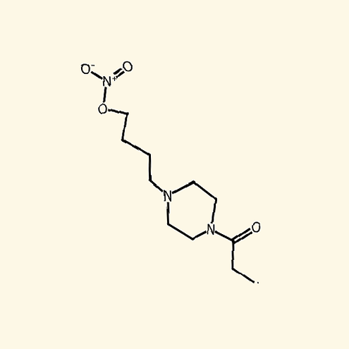 [CH2]CC(=O)N1CCN(CCCCO[N+](=O)[O-])CC1